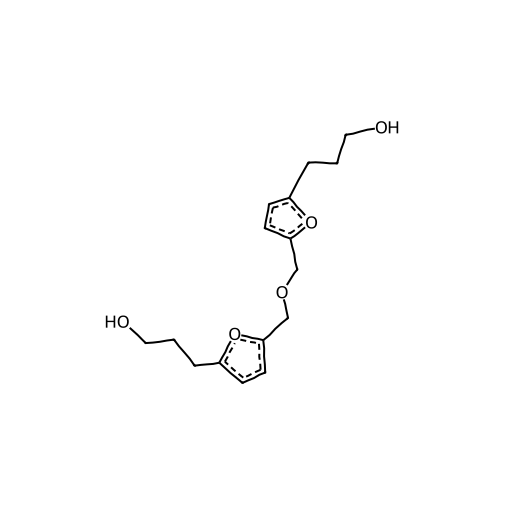 OCCCc1ccc(COCc2ccc(CCCO)o2)o1